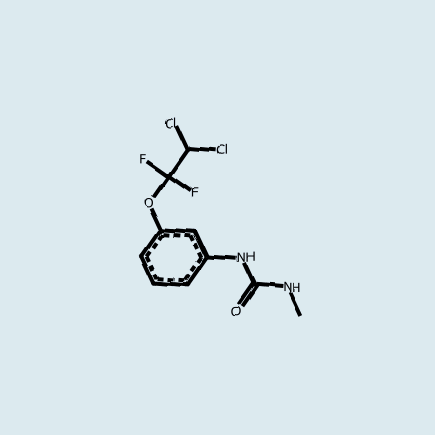 CNC(=O)Nc1cccc(OC(F)(F)C(Cl)Cl)c1